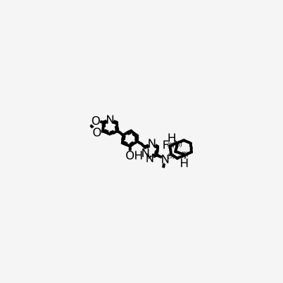 CN(c1cnc(-c2ccc(-c3cnc4c(c3)OCO4)cc2O)nn1)[C@H]1C[C@@H]2CCC[C@@H](C2)[C@H]1F